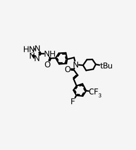 CC(C)(C)C1CCC(N(Cc2ccc(C(=O)Nc3nn[nH]n3)cc2)C(=O)/C=C/c2cc(F)cc(C(F)(F)F)c2)CC1